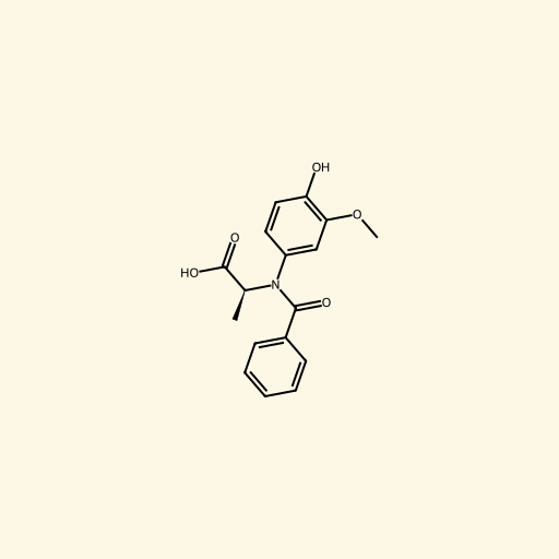 COc1cc(N(C(=O)c2ccccc2)[C@@H](C)C(=O)O)ccc1O